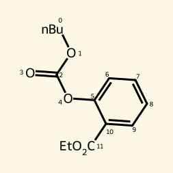 CCCCOC(=O)Oc1ccccc1C(=O)OCC